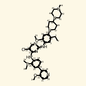 CCc1cc(Nc2ncc(Cl)c(Nc3ccc(-c4cnccc4OC)cc3P(C)C)n2)c(OC)cc1N1CCC(N2CCN(C)CC2)CC1